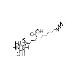 [N-]=[N+]=NCCCCCCC(CCC[C@@H]1SC[C@@H]2NC(=O)N[C@@H]21)C(=O)O